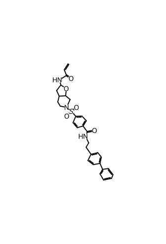 C=CC(=O)NC1CC2CCN(S(=O)(=O)c3ccc(C(=O)NCCc4ccc(-c5ccccc5)cc4)cc3)CC2O1